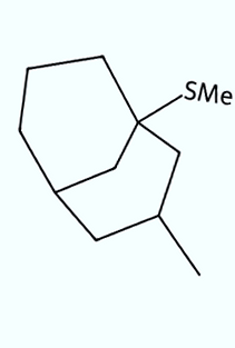 CSC12CCCC(CC(C)C1)C2